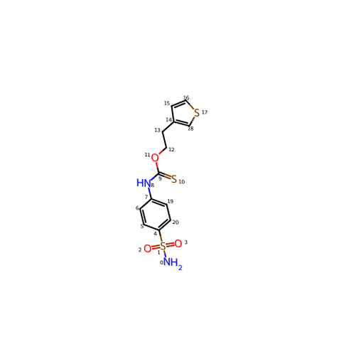 NS(=O)(=O)c1ccc(NC(=S)OCCc2ccsc2)cc1